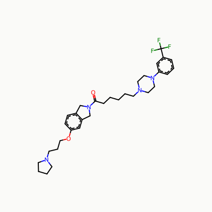 O=C(CCCCCN1CCN(c2cccc(C(F)(F)F)c2)CC1)N1Cc2ccc(OCCCN3CCCC3)cc2C1